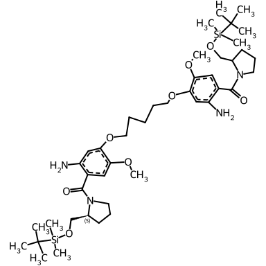 COc1cc(C(=O)N2CCCC2CO[Si](C)(C)C(C)(C)C)c(N)cc1OCCCCCOc1cc(N)c(C(=O)N2CCC[C@H]2CO[Si](C)(C)C(C)(C)C)cc1OC